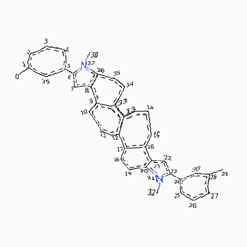 Cc1cccc(-c2cc3c4ccc5c(ccc6c5ccc5c6cc(-c6cccc(C)c6)n5C)c4ccc3n2C)c1